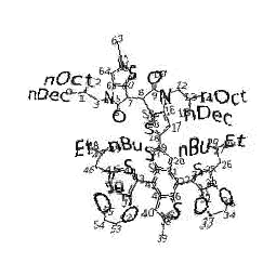 CCCCCCCCCCC(CCCCCCCC)CN1C(=O)C(C2C(=O)N(CC(CCCCCCCC)CCCCCCCCCC)c3cc(-c4cc5c(-c6sc(CC(CC)CCCC)c7c6OCCO7)c6sc(C)cc6c(-c6sc(CC(CC)CCCC)c7c6OCCO7)c5s4)sc32)c2sc(C)cc21